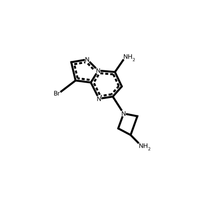 Nc1cc(N2CC(N)C2)nc2c(Br)cnn12